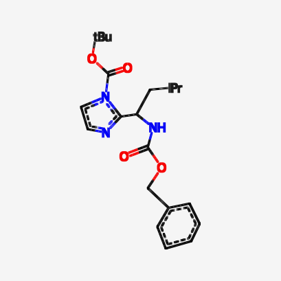 CC(C)CC(NC(=O)OCc1ccccc1)c1nccn1C(=O)OC(C)(C)C